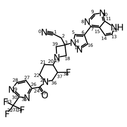 N#CCC1(n2cc(-c3ncnc4[nH]ccc34)cn2)CN(C2CCN(C(=O)c3ccnc(C(F)(F)F)n3)CC2F)C1